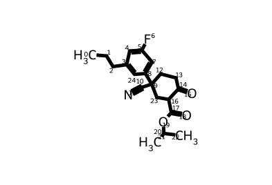 CCCc1cc(F)cc(C2(C#N)CCC(=O)C(C(=O)OC(C)C)C2)c1